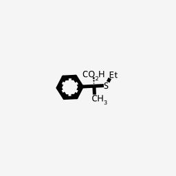 CCS[C@](C)(C(=O)O)c1ccccc1